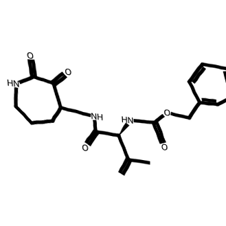 C=C(C)[C@H](NC(=O)OCc1ccccc1)C(=O)NC1CCCNC(=O)C1=O